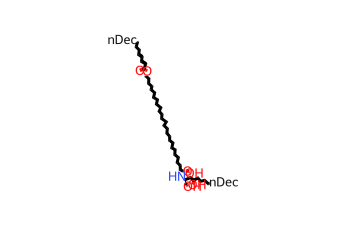 CCCCCCCCCCCCCC=CC=CC(=O)OCCCCCCCCCCCCCCCCCCCCCCCCCCCC(=O)N[C@H](CO)[C@H](O)C(O)CCCCCCCCCCCCCC